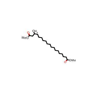 COC(=O)CCCCCCCCCCCCCCCC(C)CC(=O)OC